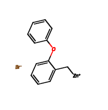 [Br-].[Zn+][CH2]c1ccccc1Oc1ccccc1